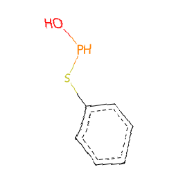 OPSc1ccccc1